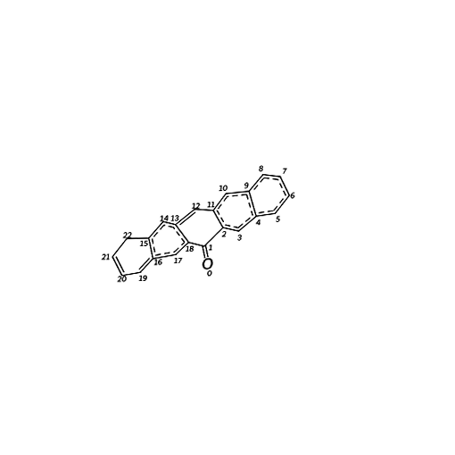 O=C1c2cc3ccccc3cc2C=c2cc3c(cc21)=CC=CC3